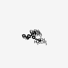 CC/C(B1OC(C)(C)C(C)(C)O1)=C(/c1ccc(/C=C/C(=O)OC(C)(C)C)cc1)c1ccc2c(cnn2C2CCCCO2)c1